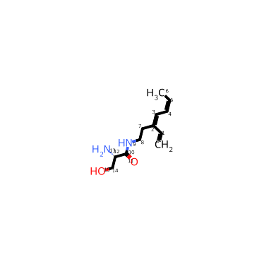 C=C/C(=C\C=C/C)CCNC(=O)[C@@H](N)CO